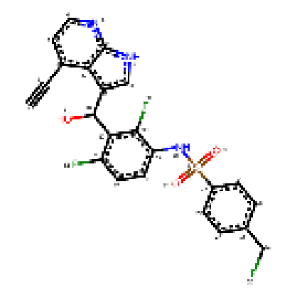 C#Cc1ccnc2[nH]cc(C(O)c3c(F)ccc(NS(=O)(=O)c4ccc(CF)cc4)c3F)c12